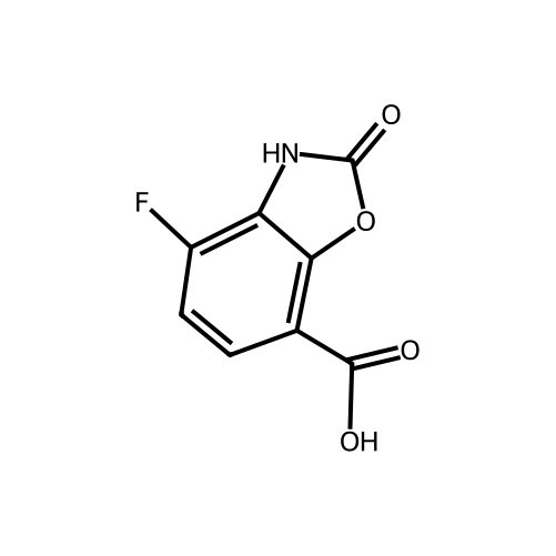 O=C(O)c1ccc(F)c2[nH]c(=O)oc12